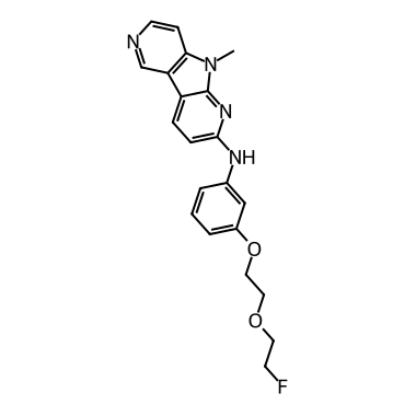 Cn1c2ccncc2c2ccc(Nc3cccc(OCCOCCF)c3)nc21